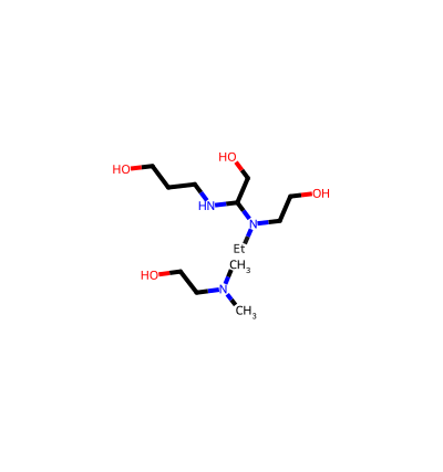 CCN(CCO)C(CO)NCCCO.CN(C)CCO